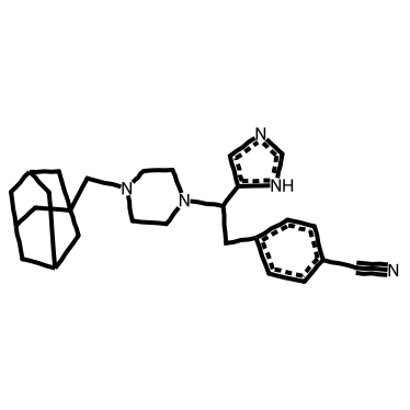 N#Cc1ccc(CC(c2cnc[nH]2)N2CCN(CC34CC5CC(CC(C5)C3)C4)CC2)cc1